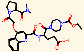 CCOC(=O)N1CCN(C(=O)C(CCC(=O)O)NC(=O)c2cc(OCC(=O)N3CCCC3C(=O)N(C)C)c3ccccc3n2)CC1